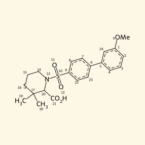 COc1cccc(-c2ccc(S(=O)(=O)N3CCSC(C)(C)C3C(=O)O)cc2)c1